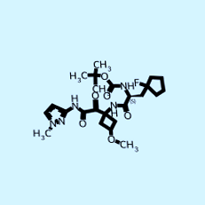 COC1CC(NC(=O)[C@H](CC2(F)CCCC2)NC(=O)OC(C)(C)C)(C(=O)C(=O)Nc2ccn(C)n2)C1